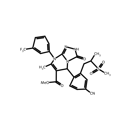 COC(=O)C1=C(C)N(c2cccc(C(F)(F)F)c2)c2n[nH]c(=O)n2C1c1ccc(C#N)cc1CC(C)S(C)(=O)=O